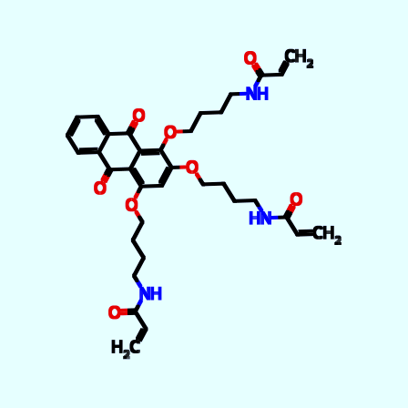 C=CC(=O)NCCCCOc1cc(OCCCCNC(=O)C=C)c2c(c1OCCCCNC(=O)C=C)C(=O)c1ccccc1C2=O